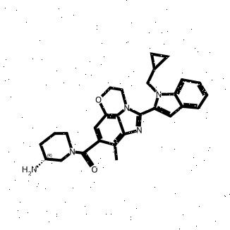 Cc1c(C(=O)N2CCC[C@@H](N)C2)cc2c3c1nc(-c1cc4ccccc4n1CC1CC1)n3CCO2